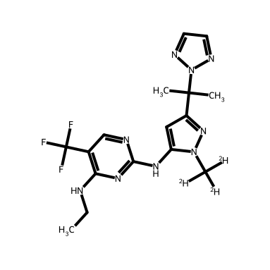 [2H]C([2H])([2H])n1nc(C(C)(C)n2nccn2)cc1Nc1ncc(C(F)(F)F)c(NCC)n1